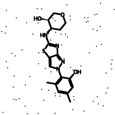 Cc1cc(C)c(-n2cc3sc(N[C@@H]4CCOC[C@H]4O)nc3n2)c(O)c1